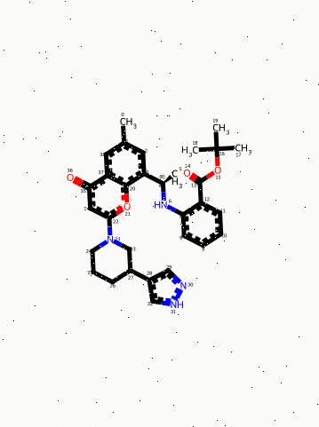 Cc1cc([C@@H](C)Nc2ccccc2C(=O)OC(C)(C)C)c2oc(N3CCCC(c4cn[nH]c4)C3)cc(=O)c2c1